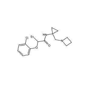 CCC(Oc1ccccc1Cl)C(=O)NC1(CN2CCC2)CC1